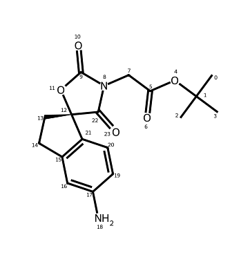 CC(C)(C)OC(=O)CN1C(=O)O[C@]2(CCc3cc(N)ccc32)C1=O